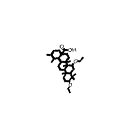 CCOC1CCC2(C)C(CC(OCC)C3(C)C2CCC2C4C(C)C(C)CCC4(C(=O)O)CCC23C)C1(C)C